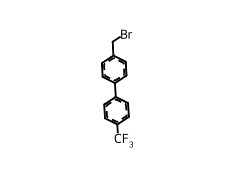 FC(F)(F)c1ccc(-c2ccc(CBr)cc2)cc1